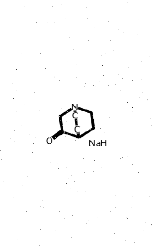 O=C1CN2CCC1CC2.[NaH]